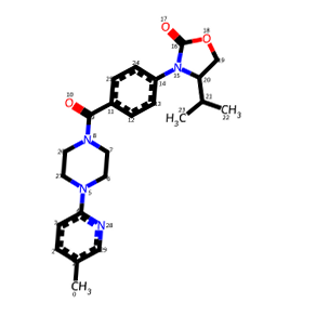 Cc1ccc(N2CCN(C(=O)c3ccc(N4C(=O)OCC4C(C)C)cc3)CC2)nc1